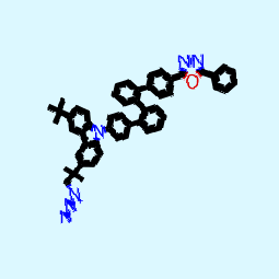 CC(C)(C)c1ccc2c(c1)c1cc(C(C)(C)CN=[N+]=[N-])ccc1n2-c1ccc(-c2ccccc2-c2ccccc2-c2ccc(-c3nnc(-c4ccccc4)o3)cc2)cc1